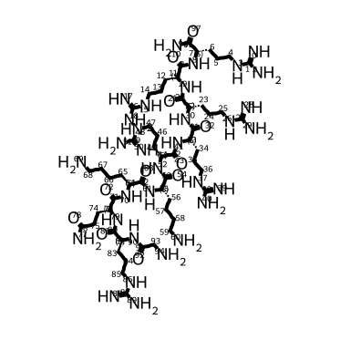 N=C(N)NCCC[C@H](NC(=O)[C@H](CCCNC(=N)N)NC(=O)[C@H](CCCNC(=N)N)NC(=O)[C@H](CCCNC(=N)N)NC(=O)[C@H](CCCNC(=N)N)NC(=O)[C@H](CCCCN)NC(=O)[C@H](CCCCN)NC(=O)[C@H](CCC(N)=O)NC(=O)[C@H](CCCNC(=N)N)NC(=O)CN)C(N)=O